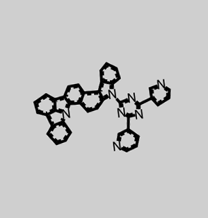 c1cncc(-c2nc(-c3cccnc3)nc(-n3c4ccccc4c4c5ccc6c7cccc8c9ccccc9n(c6c5ccc43)c87)n2)c1